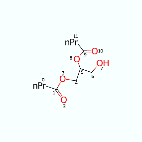 CCCC(=O)OCC(CO)OC(=O)CCC